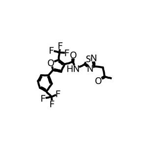 CC(=O)Cc1nsc(NC(=O)c2cc(-c3cccc(C(F)(F)F)c3)oc2C(F)(F)F)n1